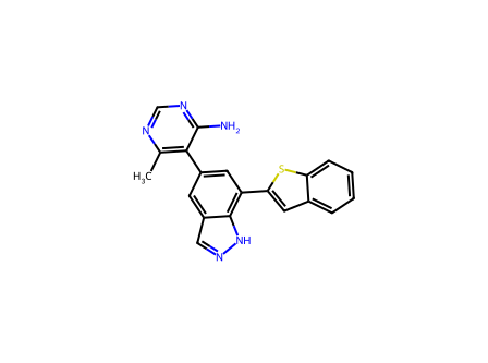 Cc1ncnc(N)c1-c1cc(-c2cc3ccccc3s2)c2[nH]ncc2c1